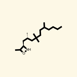 CCCCC(C)CCC(C)(C)C[C@@H](C)C[C@H]1NOC1C